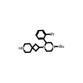 CCCCN1CCN(C2CC3(CCNCC3)C2)C(c2ccccc2C(C)C)C1